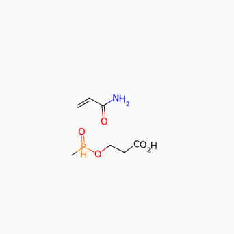 C=CC(N)=O.C[PH](=O)OCCC(=O)O